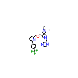 CN1CC2(C1)CN(Cc1cnccn1)CC2COCc1cccc(-c2ccc(C(F)(F)F)cc2)n1